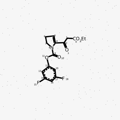 CCOC(=O)CC(=O)C1=CCCN1C(=O)Oc1cc(F)cc(F)c1